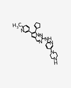 Cc1ccc(-c2cc3cnc(Nc4ccc(N5CCNCC5)cn4)nn3c2C2=CCCC2)cn1